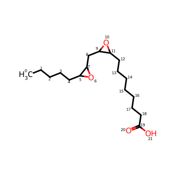 CCCCCC1OC1CC1OC1CCCCCCCC(=O)O